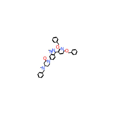 CN(Cc1ccccc1)C1CCN(c2ccc3c(-c4ccc(OCc5ccccc5)nc4OCc4ccccc4)nn(C)c3c2)C(=O)C1